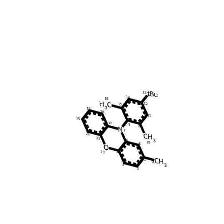 Cc1ccc2c(c1)N(c1c(C)cc(C(C)(C)C)cc1C)c1ccccc1O2